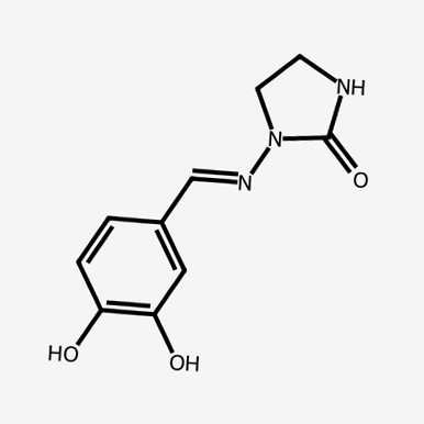 O=C1NCCN1N=Cc1ccc(O)c(O)c1